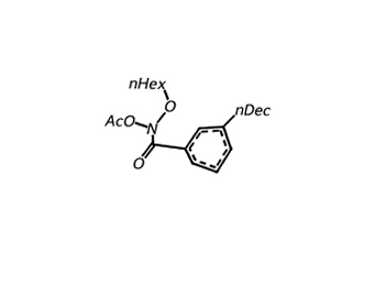 CCCCCCCCCCc1cccc(C(=O)N(OCCCCCC)OC(C)=O)c1